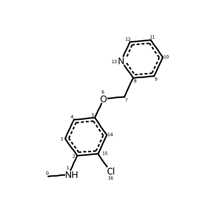 CNc1ccc(OCc2ccccn2)cc1Cl